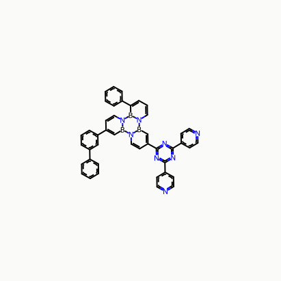 C1=CN2B3C=C(c4nc(-c5ccncc5)nc(-c5ccncc5)n4)C=CN3B3C=C(c4cccc(-c5ccccc5)c4)C=CN3B2C(c2ccccc2)=C1